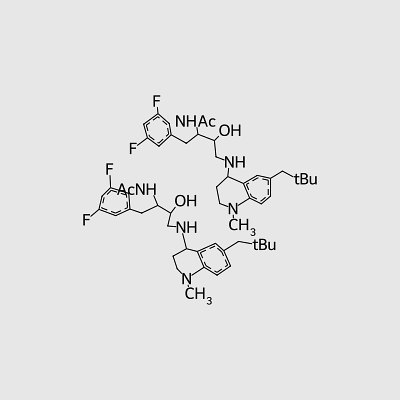 CC(=O)NC(Cc1cc(F)cc(F)c1)C(O)CNC1CCN(C)c2ccc(CC(C)(C)C)cc21.CC(=O)NC(Cc1cc(F)cc(F)c1)C(O)CNC1CCN(C)c2ccc(CC(C)(C)C)cc21